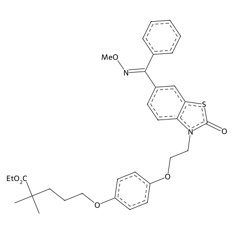 CCOC(=O)C(C)(C)CCCOc1ccc(OCCn2c(=O)sc3cc(C(=NOC)c4ccccc4)ccc32)cc1